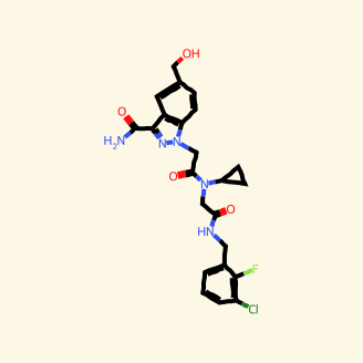 NC(=O)c1nn(CC(=O)N(CC(=O)NCc2cccc(Cl)c2F)C2CC2)c2ccc(CO)cc12